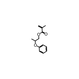 C=C(C)C(=O)OCC(C)Oc1ccccc1